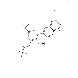 CC(C)(C)NCc1cc(C(C)(C)C)cc(-c2ccc3ncccc3c2)c1O